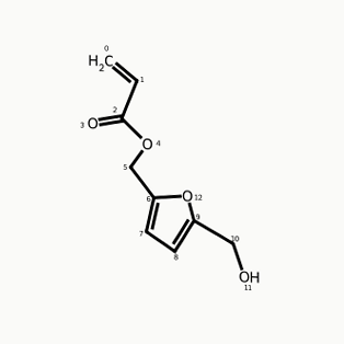 C=CC(=O)OCc1ccc(CO)o1